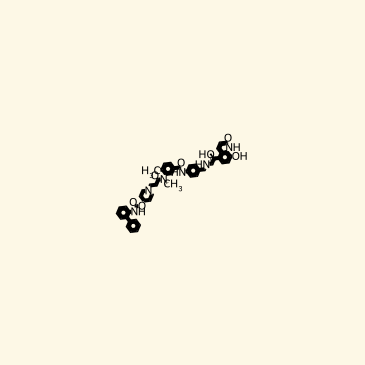 Cc1ccc(C(=O)Nc2ccc(CNC[C@@H](O)c3ccc(O)c4[nH]c(=O)ccc34)cc2)cc1N(C)C(=O)CCN1CCC(OC(=O)Nc2ccccc2-c2ccccc2)CC1